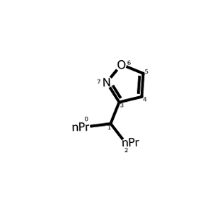 CCCC(CCC)c1ccon1